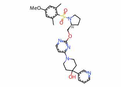 COc1cc(C)c(S(=O)(=O)N2CCC[C@H]2COc2nccc(N3CCC(O)(c4cccnc4)CC3)n2)c(C)c1